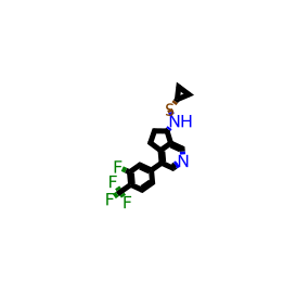 Fc1cc(-c2cncc3c2CCC3NSC2CC2)ccc1C(F)(F)F